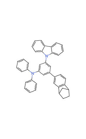 c1ccc(N(c2ccccc2)c2cc(-c3ccc4c(c3)C3CCC4C3)cc(-n3c4ccccc4c4ccccc43)c2)cc1